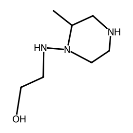 CC1CNCCN1NCCO